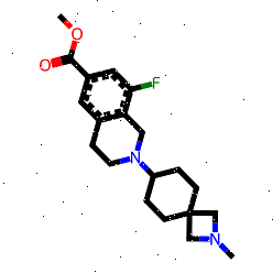 COC(=O)c1cc(F)c2c(c1)CCN(C1CCC3(CC1)CN(C)C3)C2